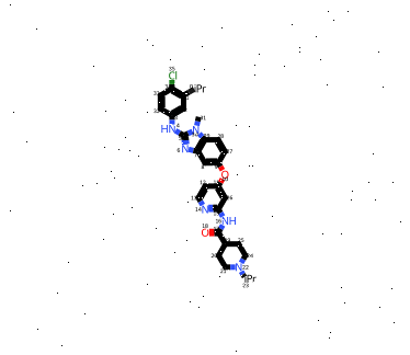 CC(C)c1cc(Nc2nc3cc(Oc4ccnc(NC(=O)C5CCN(C(C)C)CC5)c4)ccc3n2C)ccc1Cl